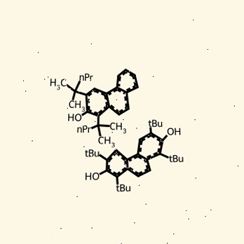 CC(C)(C)c1cc2c(ccc3c(C(C)(C)C)c(O)c(C(C)(C)C)cc32)c(C(C)(C)C)c1O.CCCC(C)(C)c1cc2c(ccc3ccccc32)c(C(C)(C)CCC)c1O